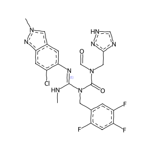 CN/C(=N\c1cc2cn(C)nc2cc1Cl)N(Cc1cc(F)c(F)cc1F)C(=O)N(C=O)Cc1nc[nH]n1